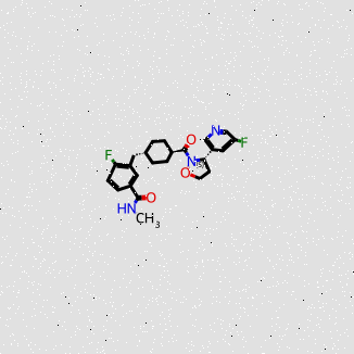 CNC(=O)c1ccc(F)c(C[C@H]2CC[C@H](C(=O)N3OCC[C@H]3c3cncc(F)c3)CC2)c1